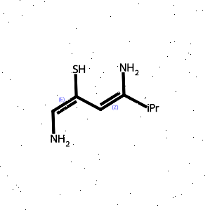 CC(C)/C(N)=C/C(S)=C\N